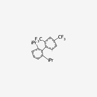 CC(C)c1cccc(C(C)C)c1-c1[c]cc(C(F)(F)F)cc1C(F)(F)F